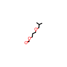 CC(C)COCCCOC=O